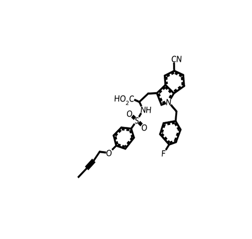 CC#CCOc1ccc(S(=O)(=O)NC(Cc2cn(Cc3ccc(F)cc3)c3ccc(C#N)cc23)C(=O)O)cc1